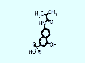 CC(C)C(=O)Nc1ccc2c(O)cc(S(=O)(=O)O)cc2c1